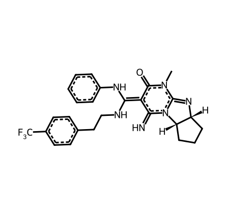 Cn1c(=O)/c(=C(/NCCc2ccc(C(F)(F)F)cc2)Nc2ccccc2)c(=N)n2c1=N[C@@H]1CCC[C@@H]12